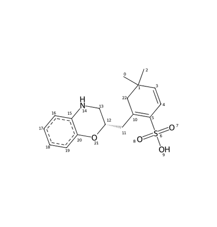 CC1(C)C=CC(S(=O)(=O)O)=C(C[C@H]2CNc3ccccc3O2)C1